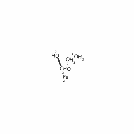 O.O.O=CO.[Fe]